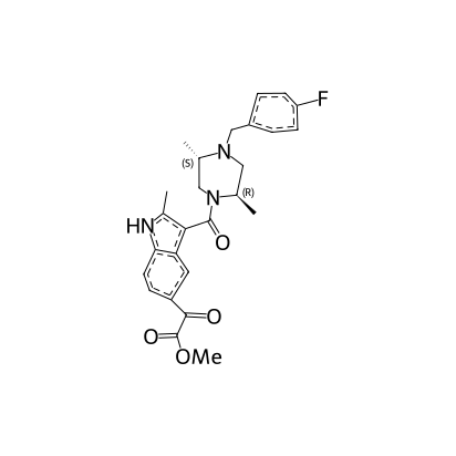 COC(=O)C(=O)c1ccc2[nH]c(C)c(C(=O)N3C[C@H](C)N(Cc4ccc(F)cc4)C[C@H]3C)c2c1